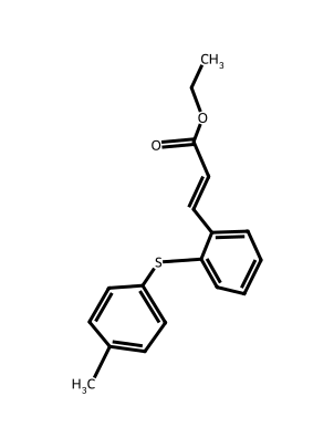 CCOC(=O)C=Cc1ccccc1Sc1ccc(C)cc1